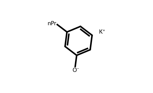 CCCc1cccc([O-])c1.[K+]